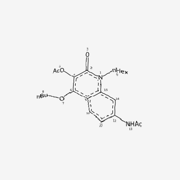 CCCCCCn1c(=O)c(OC(C)=O)c(OCCCC)c2ccc(NC(C)=O)cc21